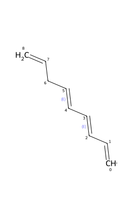 [CH]=C/C=C/C=C/CC=C